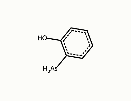 Oc1ccccc1[AsH2]